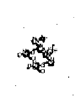 COc1cc(C=O)c(OCc2cccnc2-c2ccnn2C2CCC2)cn1.COc1cc(C=O)c(OCc2cccnc2-c2ccnn2CC(F)(F)F)cn1